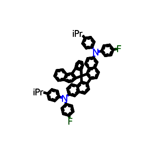 CC(C)c1ccc(N(c2ccc(F)cc2)c2ccc3c4c(ccc3c2)-c2ccc3cc(N(c5ccc(F)cc5)c5ccc(C(C)C)cc5)ccc3c2C42c3ccccc3-c3c2ccc2ccccc32)cc1